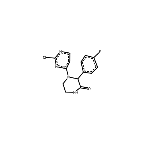 O=C1NCCN(c2ccnc(Cl)n2)C1c1ccc(F)cc1